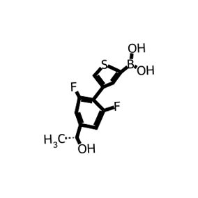 C[C@@H](O)c1cc(F)c(-c2csc(B(O)O)c2)c(F)c1